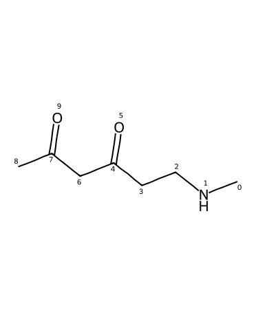 CNCCC(=O)CC(C)=O